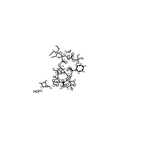 CC[Si](CC)(CC)O[C@@](C)(C(=O)O[C@H]1C[C@@]2(O)[C@@H](OC(=O)c3ccccc3)[C@H]3[C@@](C)(CC[C@H]4OC[C@]43OC(C)=O)[C@@H]3O[C@H](CN4CC[C@H]4CO)O[C@@H]3C(=C1C)C2(C)C)[C@H](CF)NC(=O)OC(C)(C)C